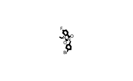 CCn1c(=O)n(Cc2ccc(Br)cc2)c(=O)c2ccc(F)cc21